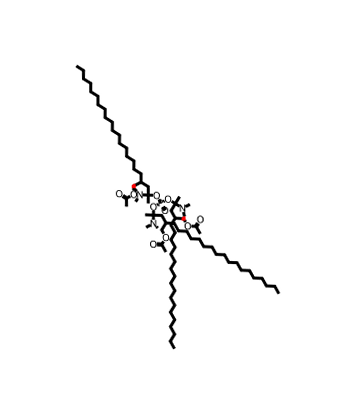 CCCCCCCCCCCCCCCCCCC(COC(C)=O)CC(C)(OP(=O)(OC(C)(CC(CCCCCCCCCCCCCCCCCC)COC(C)=O)N(C)C)OC(C)(CC(CCCCCCCCCCCCCCCCCC)COC(C)=O)N(C)C)N(C)C